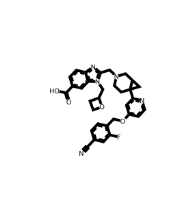 N#Cc1ccc(COc2ccnc(C34CCN(Cc5nc6ccc(C(=O)O)cc6n5CC5CCO5)CC3C4)c2)c(F)c1